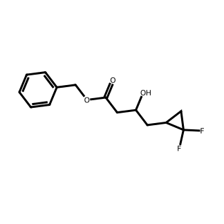 O=C(CC(O)CC1CC1(F)F)OCc1ccccc1